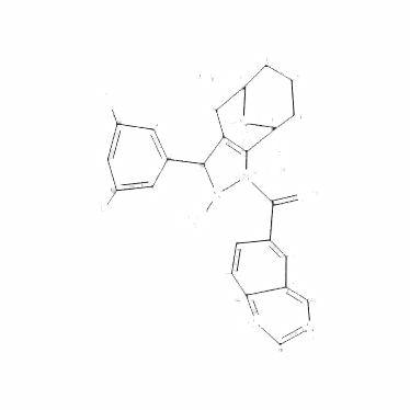 CN1C(c2cc(F)cc(F)c2)C2=C([C@@H]3CCC[C@H](C2)N3)N1C(=O)c1ccc2ncncc2c1